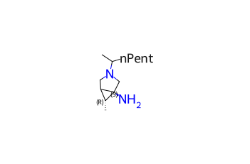 CCCCCC(C)N1CC2[C@@H](C)[C@@]2(N)C1